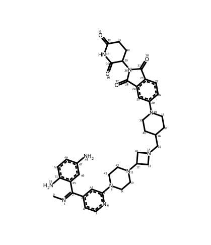 C/N=C(/c1ccnc(N2CCN(C3CN(CC4CCN(c5ccc6c(c5)C(=O)N(C5CCC(=O)NC5=O)C6=O)CC4)C3)CC2)c1)c1cc(N)ccc1N